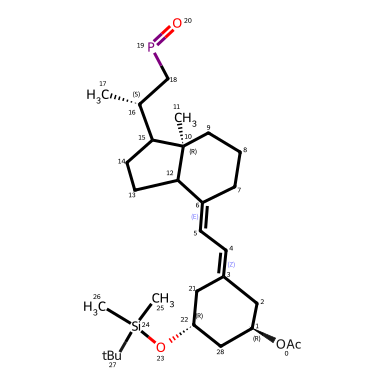 CC(=O)O[C@@H]1C/C(=C/C=C2\CCC[C@@]3(C)C2CCC3[C@H](C)CP=O)C[C@@H](O[Si](C)(C)C(C)(C)C)C1